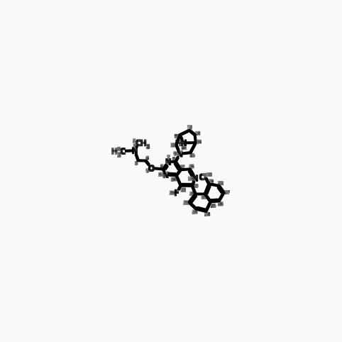 CN(C)CCOc1nc(N2CC3CCC(C2)N3)c2cnc(-c3cccc4cccc(Cl)c34)c(F)c2n1